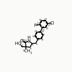 CC1(CO)CC(Cc2ccc(-c3cc(Cl)ccc3F)cc2)NC1=O